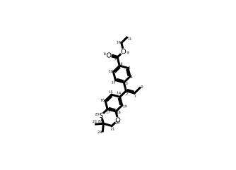 CC=C(c1ccc(C(=O)OCC)cc1)c1ccc2c(c1)OCC(C)(C)S2